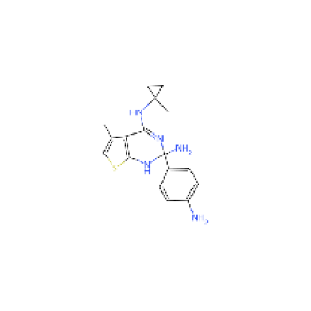 Cc1csc2c1C(NC1(C)CC1)=NC(N)(c1ccc(N)cc1)N2